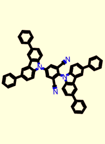 N#Cc1cc(-n2c3ccc(-c4ccccc4)cc3c3cc(-c4ccccc4)ccc32)cc(C#N)c1-n1c2ccc(-c3ccccc3)cc2c2cc(-c3ccccc3)ccc21